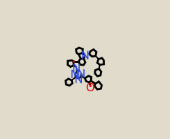 c1ccc(-c2cccc(-c3cccc(-n4c5ccccc5c5c6c7ccccc7n(-c7nc(-c8ccccc8)nc(-c8ccc9c(c8)oc8ccccc89)n7)c6ccc54)c3)c2)cc1